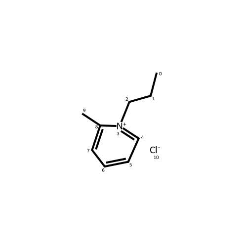 CCC[n+]1ccccc1C.[Cl-]